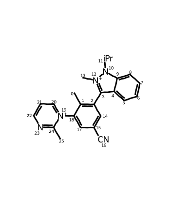 Cc1c(-c2c3ccccc3n(C(C)C)[n+]2C)cc(C#N)cc1-[n+]1cccnc1C